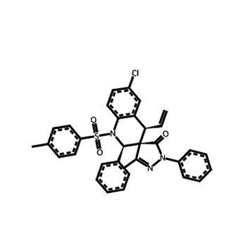 C=C[C@@H]1c2cc(Cl)ccc2N(S(=O)(=O)c2ccc(C)cc2)[C@H](c2ccccc2)[C@]12C(=O)N(c1ccccc1)N=C2C